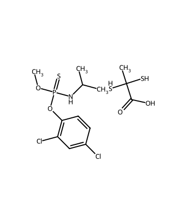 CC(S)(S)C(=O)O.COP(=S)(NC(C)C)Oc1ccc(Cl)cc1Cl